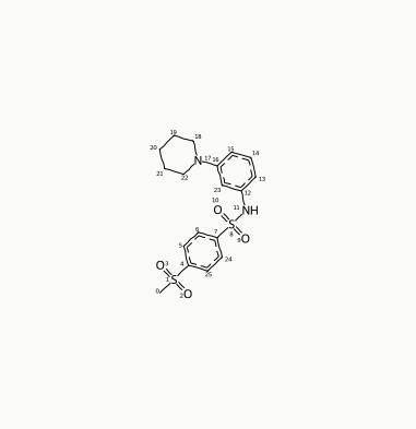 CS(=O)(=O)c1ccc(S(=O)(=O)Nc2cccc(N3CCCCC3)c2)cc1